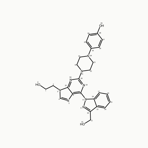 OCCn1cnc2c(-n3nc(CO)c4ccccc43)nc(N3CCN(c4ccc(O)cc4)CC3)nc21